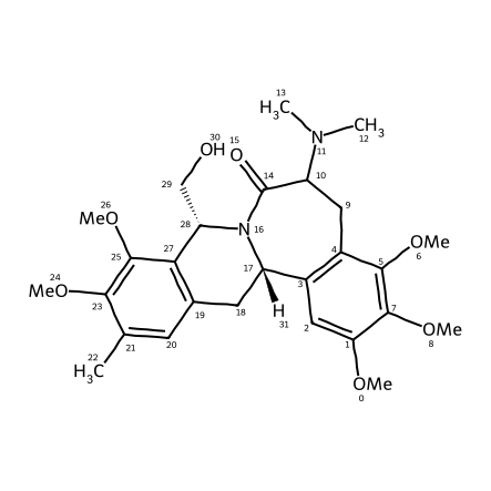 COc1cc2c(c(OC)c1OC)CC(N(C)C)C(=O)N1[C@H]2Cc2cc(C)c(OC)c(OC)c2[C@@H]1CO